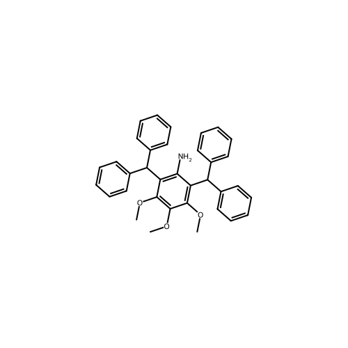 COc1c(OC)c(C(c2ccccc2)c2ccccc2)c(N)c(C(c2ccccc2)c2ccccc2)c1OC